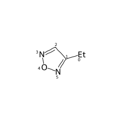 CCc1cnon1